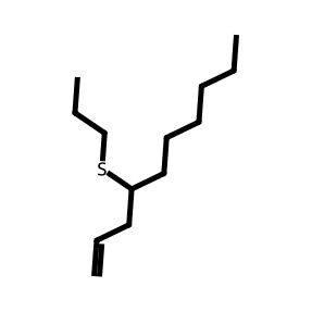 C=CCC(CCCCCC)SCCC